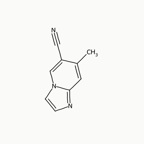 Cc1cc2nccn2cc1C#N